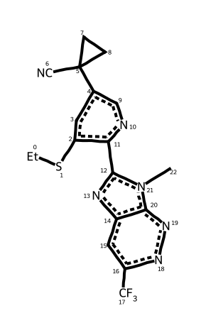 CCSc1cc(C2(C#N)CC2)cnc1-c1nc2cc(C(F)(F)F)nnc2n1C